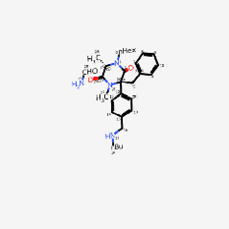 CCCCCCN1C(=O)[C@](Cc2ccccc2)(c2ccc(CNCCCC)cc2)N(C)C(=O)[C@@H]1C.NC=O